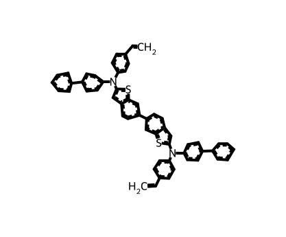 C=Cc1ccc(N(c2ccc(-c3ccccc3)cc2)c2cc3ccc(-c4ccc5cc(N(c6ccc(C=C)cc6)c6ccc(-c7ccccc7)cc6)sc5c4)cc3s2)cc1